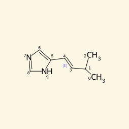 CC(C)/C=C/c1cnc[nH]1